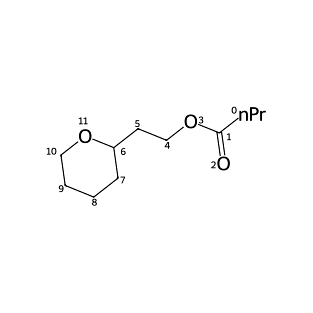 CCCC(=O)OCCC1CCCCO1